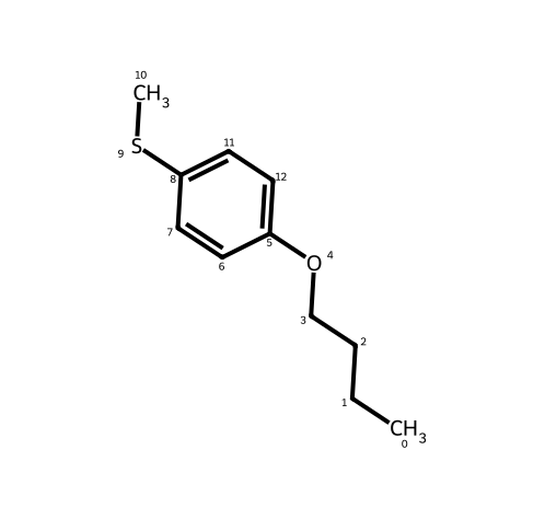 CCCCOc1ccc(SC)cc1